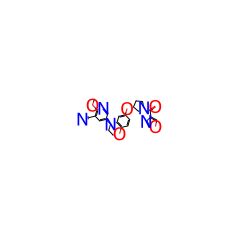 COc1ncc(N2CCOc3ccc(OC4CCN(C(=O)c5cocn5)C4)cc32)cc1C#N